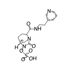 O=C(NCCc1cccnc1)C1CC[C@@H]2CN1C(=O)N2OS(=O)(=O)O